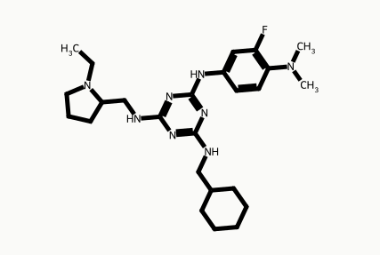 CCN1CCCC1CNc1nc(NCC2CCCCC2)nc(Nc2ccc(N(C)C)c(F)c2)n1